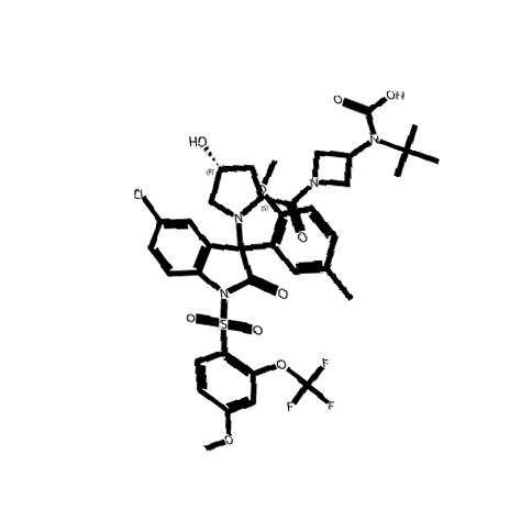 COc1ccc(S(=O)(=O)N2C(=O)C(c3cc(C)ccc3OC)(N3C[C@H](O)C[C@H]3C(=O)N3CC(N(C(=O)O)C(C)(C)C)C3)c3cc(Cl)ccc32)c(OC(F)(F)F)c1